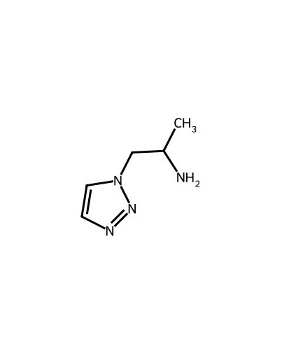 CC(N)Cn1ccnn1